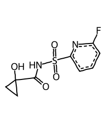 O=C(NS(=O)(=O)c1cccc(F)n1)C1(O)CC1